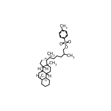 Cc1ccc(S(=O)(=O)OCC(C)CCC[C@@H](C)[C@H]2CC[C@H]3[C@@H]4CCC5CCCC[C@]5(C)[C@H]4CC[C@]23C)cc1